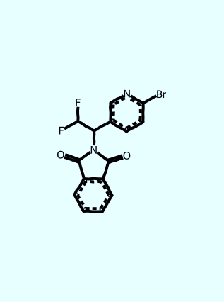 O=C1c2ccccc2C(=O)N1C(c1ccc(Br)nc1)C(F)F